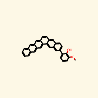 COc1cccc(-c2ccc3cc4ccc5cc6cc7ccccc7cc6cc5c4cc3c2)c1O